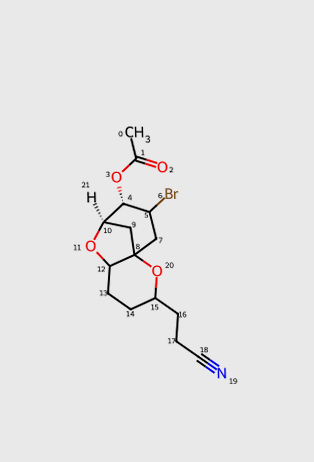 CC(=O)O[C@@H]1C(Br)CC23C[C@H]1OC2CCC(CCC#N)O3